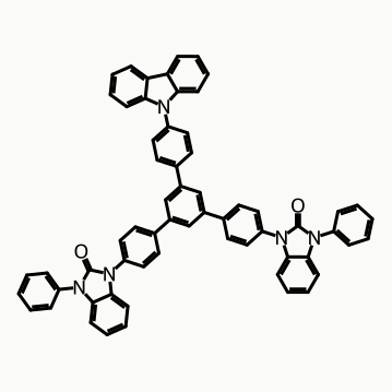 O=c1n(-c2ccccc2)c2ccccc2n1-c1ccc(-c2cc(-c3ccc(-n4c(=O)n(-c5ccccc5)c5ccccc54)cc3)cc(-c3ccc(-n4c5ccccc5c5ccccc54)cc3)c2)cc1